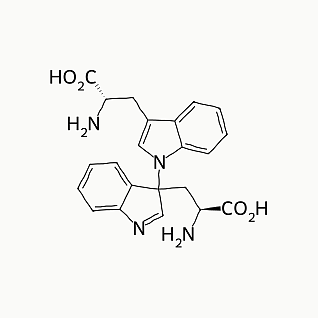 N[C@@H](Cc1cn(C2(C[C@H](N)C(=O)O)C=Nc3ccccc32)c2ccccc12)C(=O)O